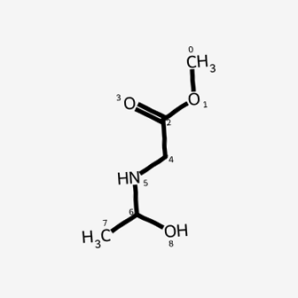 COC(=O)CNC(C)O